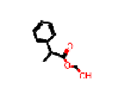 CC(C(=O)OCO)c1ccccc1